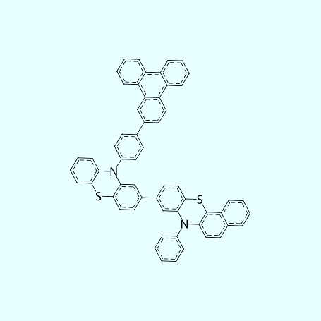 c1ccc(N2c3cc(-c4ccc5c(c4)N(c4ccc(-c6ccc7c8ccccc8c8ccccc8c7c6)cc4)c4ccccc4S5)ccc3Sc3c2ccc2ccccc32)cc1